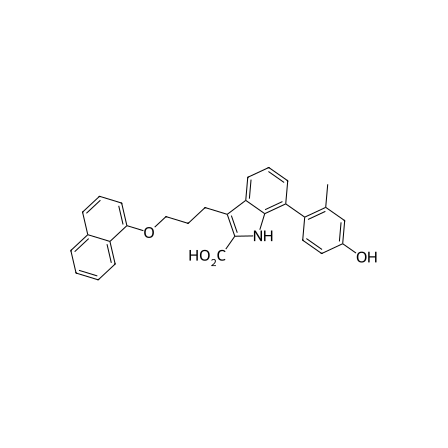 Cc1cc(O)ccc1-c1cccc2c(CCCOc3cccc4ccccc34)c(C(=O)O)[nH]c12